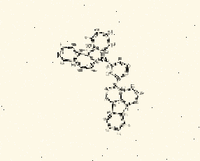 c1cc(-c2ccc3c4c(cccc24)-c2ccccc2-3)cc(-n2c3ccccc3c3c4ccncc4ccc32)c1